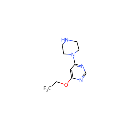 FC(F)(F)COc1cc(N2CCNCC2)ncn1